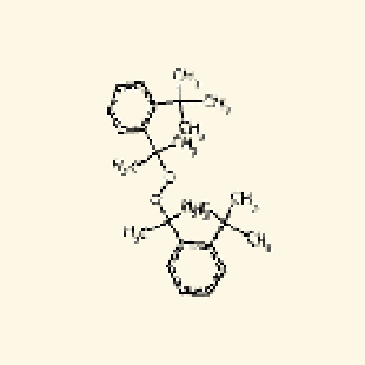 CC(C)(C)c1ccccc1C(C)(C)OOC(C)(C)c1ccccc1C(C)(C)C